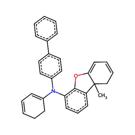 CC12CC=CC=C1Oc1c(N(C3=CC=CCC3)c3ccc(-c4ccccc4)cc3)cccc12